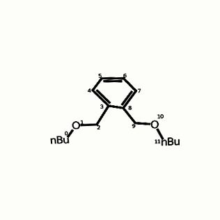 CCCCOCc1ccccc1COCCCC